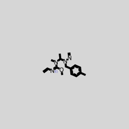 C=C/N=C(/OC)N(C)C(C)N(Cc1ccc(C)cc1)N=C